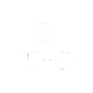 O=C1OCC(c2ncccn2)N1c1ccccc1